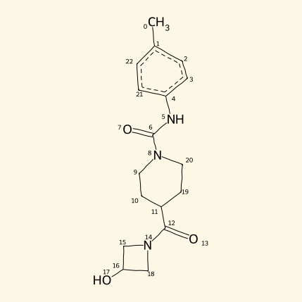 Cc1ccc(NC(=O)N2CCC(C(=O)N3CC(O)C3)CC2)cc1